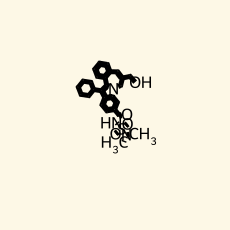 CN(C)S(=O)(=O)NC(=O)c1ccc2c(C3CCCCC3)c3n(c2c1)CC(CO)=Cc1ccccc1-3